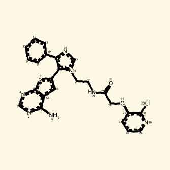 Nc1ncnc2sc(-c3c(-c4ccccc4)ncn3CCNC(=O)COc3cccnc3Cl)cc12